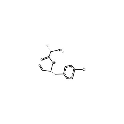 C[C@H](N)C(=O)N[C@@H]([C]=O)Cc1ccc(Cl)cc1